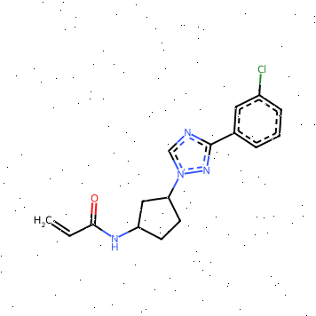 C=CC(=O)NC1CCC(n2cnc(-c3cccc(Cl)c3)n2)C1